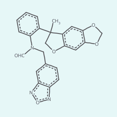 CC1(c2ccccc2N(C=O)Cc2ccc3nonc3c2)COc2cc3c(cc21)OCO3